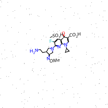 CO/N=C1\CN(c2nc3c(cc2F)c(=O)c(C(=O)O)cn3C2CC2)CC1CCN.CS(=O)(=O)O